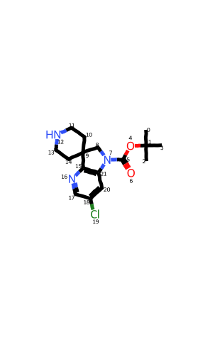 CC(C)(C)OC(=O)N1CC2(CCNCC2)c2ncc(Cl)cc21